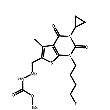 Cc1c(CNNC(=O)OC(C)(C)C)sc2c1c(=O)n(C1CC1)c(=O)n2CCCCF